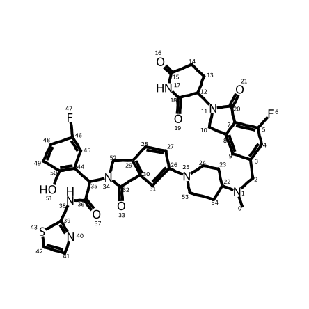 CN(Cc1cc(F)c2c(c1)CN(C1CCC(=O)NC1=O)C2=O)C1CCN(c2ccc3c(c2)C(=O)N(C(C(=O)Nc2nccs2)c2cc(F)ccc2O)C3)CC1